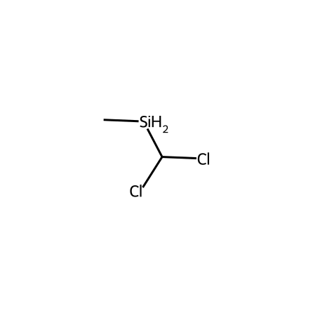 C[SiH2]C(Cl)Cl